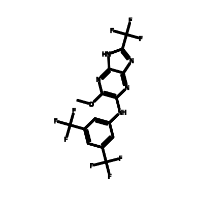 COc1nc2[nH]c(C(F)(F)F)nc2nc1Nc1cc(C(F)(F)F)cc(C(F)(F)F)c1